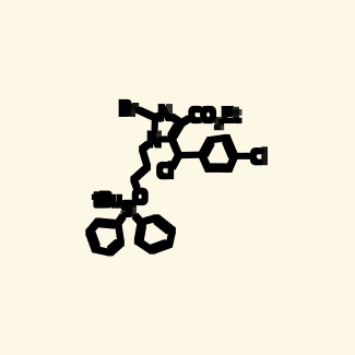 CCOC(=O)c1nc(Br)n(CCCO[Si](c2ccccc2)(c2ccccc2)C(C)(C)C)c1C(Cl)c1ccc(Cl)cc1